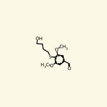 COc1cc(C=O)cc(OC)c1SCCCCO